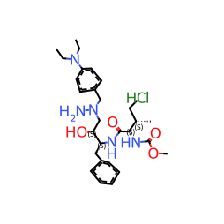 CC[C@H](C)[C@H](NC(=O)OC)C(=O)N[C@@H](Cc1ccccc1)[C@@H](O)CN(N)Cc1ccc(N(CC)CC)cc1.Cl